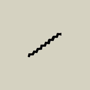 CCCCCCCCCCC=CC=CCCI